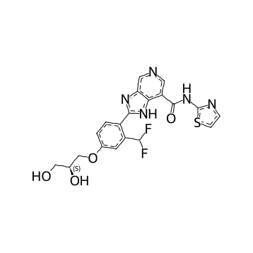 O=C(Nc1nccs1)c1cncc2nc(-c3ccc(OC[C@@H](O)CO)cc3C(F)F)[nH]c12